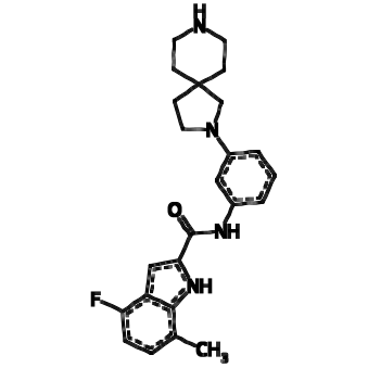 Cc1ccc(F)c2cc(C(=O)Nc3cccc(N4CCC5(CCNCC5)C4)c3)[nH]c12